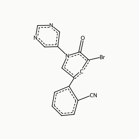 N#Cc1ccccc1-c1cc(Br)c(=O)n(-c2cncnc2)c1